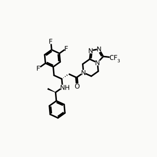 C[C@@H](N[C@@H](CC(=O)N1CCn2c(nnc2C(F)(F)F)C1)Cc1cc(F)c(F)cc1F)c1ccccc1